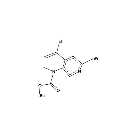 C=C(CC)c1cc(CCC)ncc1N(C)C(=O)OC(C)(C)C